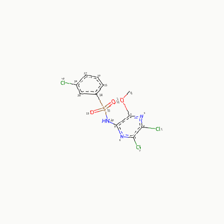 COc1nc(Cl)c(Cl)nc1NS(=O)(=O)c1cccc(Cl)c1